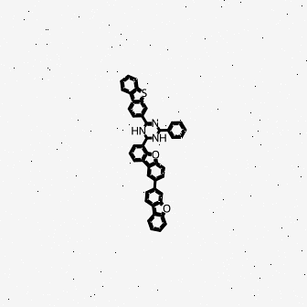 c1ccc(C2N=C(c3ccc4c(c3)sc3ccccc34)NC(c3cccc4c3oc3ccc(-c5ccc6c(c5)oc5ccccc56)cc34)N2)cc1